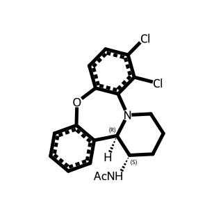 CC(=O)N[C@H]1CCCN2c3c(ccc(Cl)c3Cl)Oc3ccccc3[C@H]12